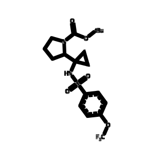 CC(C)(C)OC(=O)N1CCCC1C1(NS(=O)(=O)c2ccc(OC(F)(F)F)cc2)CC1